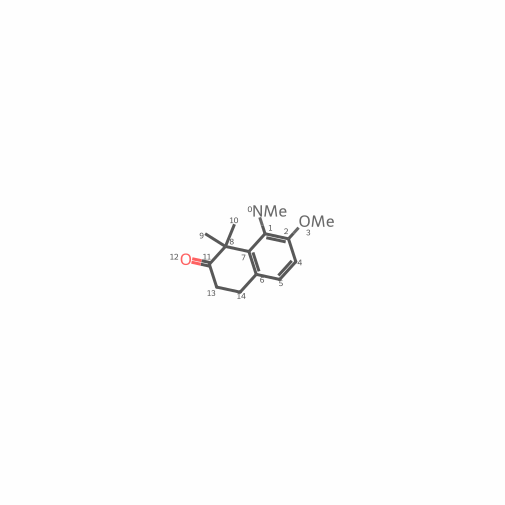 CNc1c(OC)ccc2c1C(C)(C)C(=O)CC2